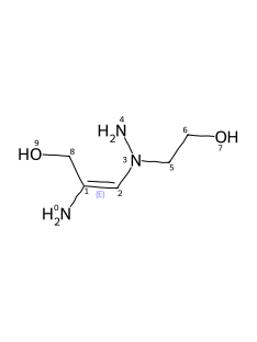 N/C(=C/N(N)CCO)CO